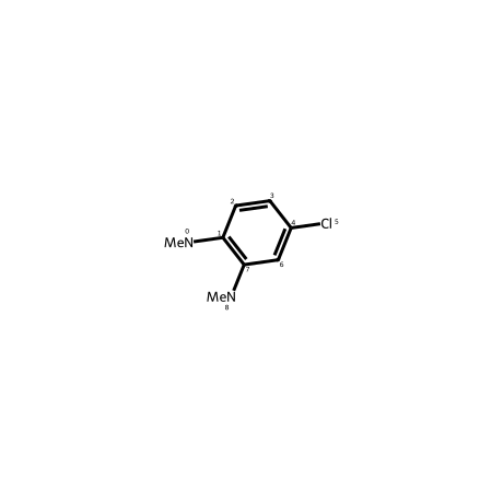 CNc1ccc(Cl)cc1NC